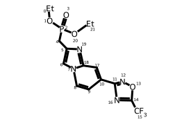 CCOP(=O)(Cc1cn2ccc(-c3noc(C(F)(F)F)n3)cc2n1)OCC